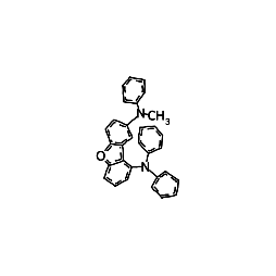 CN(c1ccccc1)c1ccc2oc3cccc(N(c4ccccc4)c4ccccc4)c3c2c1